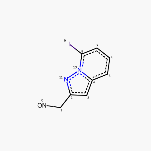 O=NCc1cc2cccc(I)n2n1